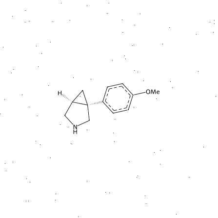 COc1ccc([C@]23CNC[C@H]2C3)cc1